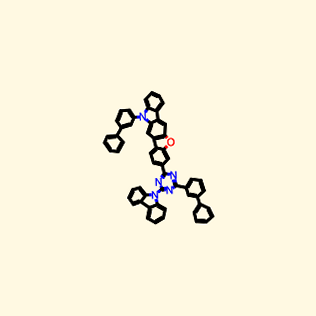 c1ccc(-c2cccc(-c3nc(-c4ccc5c(c4)oc4cc6c7ccccc7n(-c7cccc(-c8ccccc8)c7)c6cc45)nc(-n4c5ccccc5c5ccccc54)n3)c2)cc1